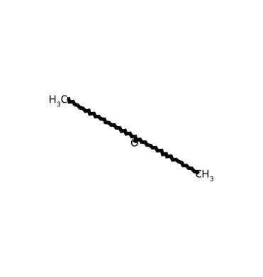 CCCCCCCCCCCCCCCCCCCCCCCCCCCCC(=O)CCCCCCCCCCCCCCCCCCCCCCCC